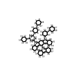 c1ccc(-c2ccc(-c3nc(-c4ccccc4)nc(-n4c5ccccc5c5c(-n6c7ccccc7c7ccccc76)c6c7ccccc7n(-c7cccc(-c8ccccc8)c7)c6cc54)n3)cc2)cc1